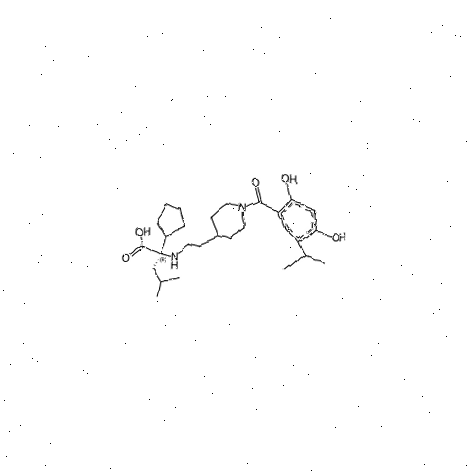 CC(C)C[C@](NCCC1CCN(C(=O)c2cc(C(C)C)c(O)cc2O)CC1)(C(=O)O)C1CCCC1